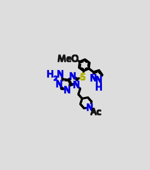 COc1ccc(-c2cc[nH]n2)c(Sc2nc3c(N)ncnc3n2CCC2CCN(C(C)=O)CC2)c1